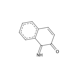 N=C1C(=O)C=Cc2ccccc21